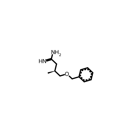 C[C@H](COCc1ccccc1)CC(=N)N